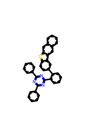 c1ccc(-c2nc(-c3ccccc3)nc(-c3ccccc3-c3ccc4sc5cc6ccccc6cc5c4c3)n2)cc1